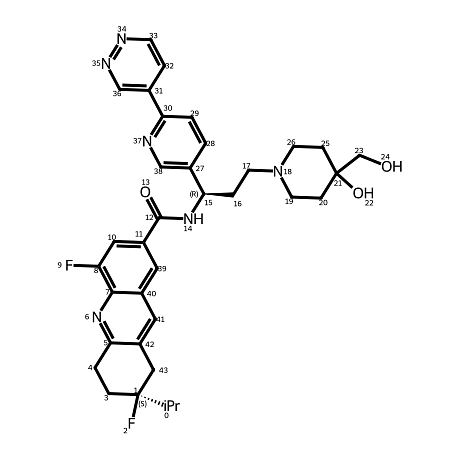 CC(C)[C@]1(F)CCc2nc3c(F)cc(C(=O)N[C@H](CCN4CCC(O)(CO)CC4)c4ccc(-c5ccnnc5)nc4)cc3cc2C1